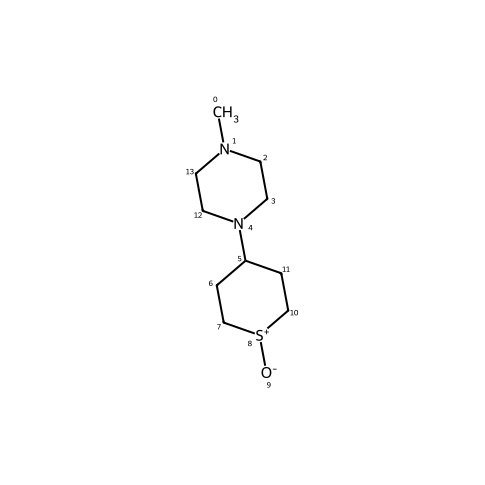 CN1CCN(C2CC[S+]([O-])CC2)CC1